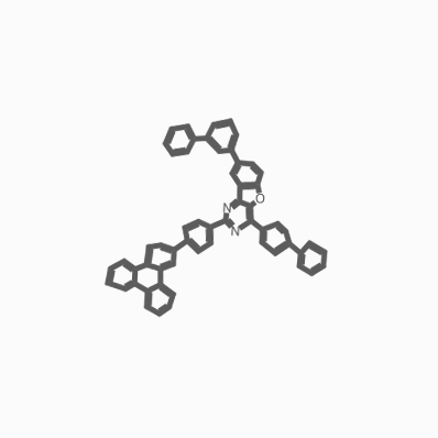 c1ccc(-c2ccc(-c3nc(-c4ccc(-c5ccc6c7ccccc7c7ccccc7c6c5)cc4)nc4c3oc3ccc(-c5cccc(-c6ccccc6)c5)cc34)cc2)cc1